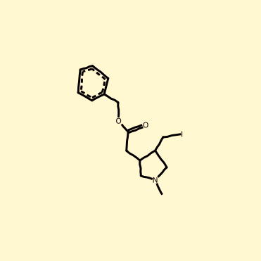 CN1CC(CI)C(CC(=O)OCc2ccccc2)C1